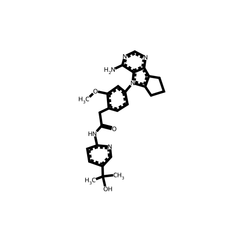 COc1cc(-n2c3c(c4ncnc(N)c42)CCC3)ccc1CC(=O)Nc1ccc(C(C)(C)O)cn1